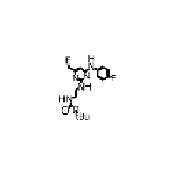 CC(C)(C)OC(=O)NCCNc1nc(CF)cc(Nc2ccc(F)cc2)n1